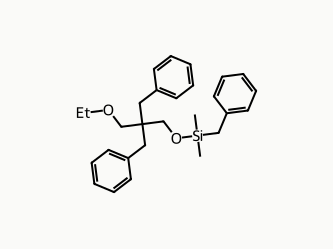 CCOCC(CO[Si](C)(C)Cc1ccccc1)(Cc1ccccc1)Cc1ccccc1